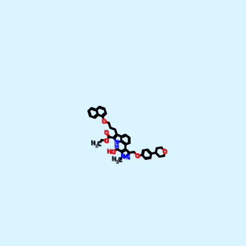 CCOC(=O)c1[nH]c2c(-c3c(COc4ccc(C5CCOCC5)cc4)nn(C)c3CO)cccc2c1CCCOc1cccc2ccccc12